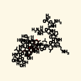 CC[C@H](C)[C@H](NC(=O)[C@H](CC(C)C)NC(=O)[C@H](CC(C)C)NC(=O)[C@H](CCCCN)NC(=O)[C@@H]1CCCN1C(=O)[C@H](CCCNC(=N)N)NC(=O)[C@H](CCC(N)=O)NC(=O)CN)C(=O)N[C@@H](Cc1c[nH]cn1)C(=O)N[C@@H](CC(=O)O)C(=O)N[C@@H](C)C(=O)N[C@@H](CO)C(=O)N[C@H](C(=O)N[C@@H](CC(C)C)C(=O)N[C@@H](C)C(=O)N[C@@H](CO)C(=O)NCC(=O)N[C@H](C(=O)N[C@@H](CO)C(=O)N[C@@H](CO)C(=O)O)C(C)C)[C@@H](C)O